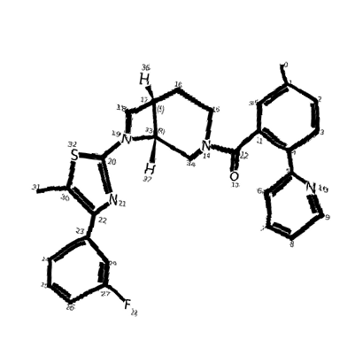 Cc1ccc(-c2ccccn2)c(C(=O)N2CC[C@H]3CN(c4nc(-c5cccc(F)c5)c(C)s4)[C@H]3C2)c1